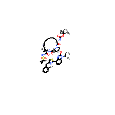 Cc1ccccc1Cc1csc(-c2cccc3c2nc(O[C@@H]2C[C@H]4C(=O)N[C@]5(C(=O)NS(=O)(=O)C6(C)CC6)C[C@H]5/C=C\CCCCC[C@H](NC(=O)OC(C)(C)C)C(=O)N4C2)n3C(C)C)n1